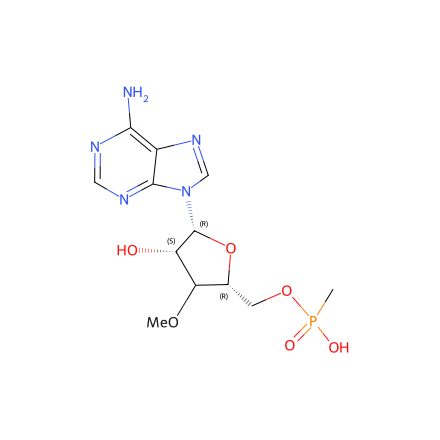 COC1[C@@H](COP(C)(=O)O)O[C@@H](n2cnc3c(N)ncnc32)[C@H]1O